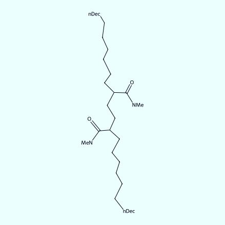 CCCCCCCCCCCCCCCCC(CCC(CCCCCCCCCCCCCCCC)C(=O)NC)C(=O)NC